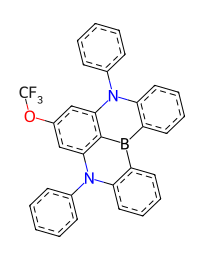 FC(F)(F)Oc1cc2c3c(c1)N(c1ccccc1)c1ccccc1B3c1ccccc1N2c1ccccc1